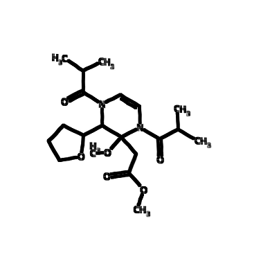 COC(=O)CC1(OC)C(C2CCCO2)N(C(=O)C(C)C)C=CN1C(=O)C(C)C